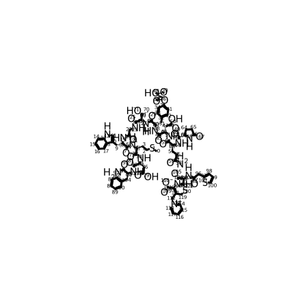 CSCC[C@H](NC(=O)[C@H](Cc1c[nH]c2ccccc12)NC(=O)CNC(=O)[C@@H](NC(=O)[C@H](Cc1ccc(OS(=O)(=O)O)cc1)NC(=O)[C@H](CC(=O)O)NC(=O)[C@H](CCC(N)=O)NC(=O)[C@@H]1CCC(=O)N1)[C@@H](C)O)C(=O)N[C@@H](CC(=O)O)C(=O)N[C@@H](Cc1ccccc1)C(N)=O.O=C(Cc1cccs1)N[C@@H]1C(=O)N2C(C(=O)[O-])=C(C[n+]3ccccc3)CS[C@H]12